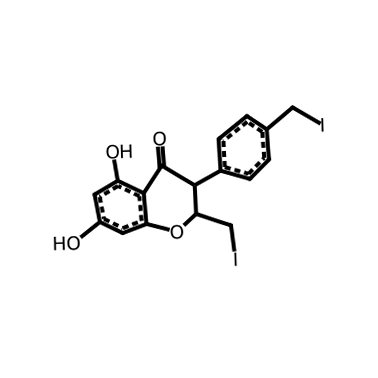 O=C1c2c(O)cc(O)cc2OC(CI)C1c1ccc(CI)cc1